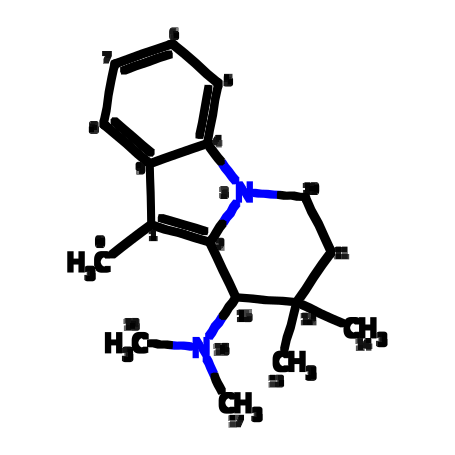 Cc1c2n(c3ccccc13)CCC(C)(C)C2N(C)C